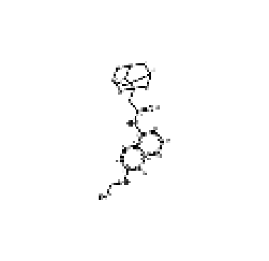 CC(C)CNc1ccc2c(NC(=O)CC34CC5CC(CC(C5)C3)C4)cccc2n1